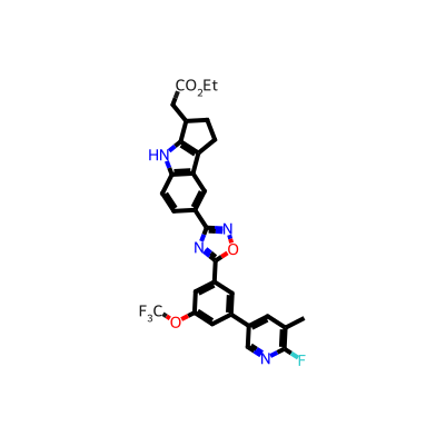 CCOC(=O)CC1CCc2c1[nH]c1ccc(-c3noc(-c4cc(OC(F)(F)F)cc(-c5cnc(F)c(C)c5)c4)n3)cc21